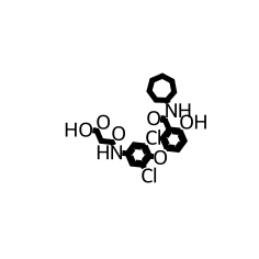 O=C(O)CC(=O)Nc1cc(Cl)c(Oc2ccc(O)c(C(=O)NC3CCCCCC3)c2)c(Cl)c1